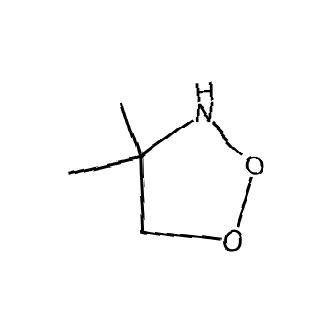 CC1(C)COON1